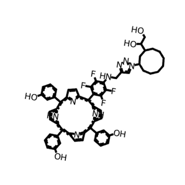 OCC(O)C1CCCCCCCC(n2cc(CNc3c(F)c(F)c(-c4c5nc(c(-c6cccc(O)c6)c6ccc([nH]6)c(-c6cccc(O)c6)c6nc(c(-c7cccc(O)c7)c7ccc4[nH]7)C=C6)C=C5)c(F)c3F)nn2)C1